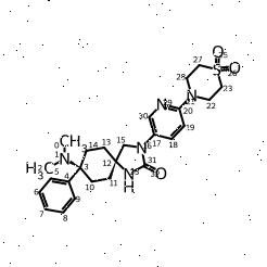 CN(C)[C@]1(c2ccccc2)CC[C@@]2(CC1)CN(c1ccc(N3CCS(=O)(=O)CC3)nc1)C(=O)N2